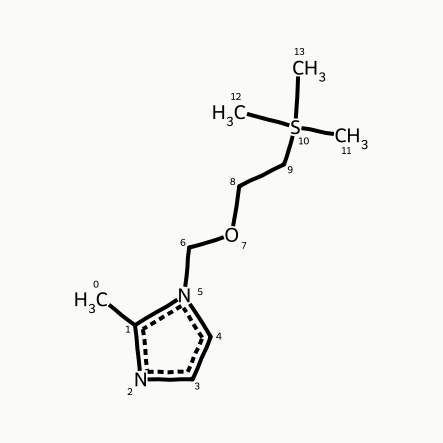 Cc1nccn1COCCS(C)(C)C